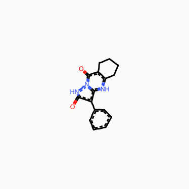 O=c1[nH]n2c(=O)c3c([nH]c2c1-c1ccccc1)CCCC3